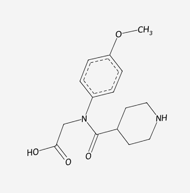 COc1ccc(N(CC(=O)O)C(=O)C2CCNCC2)cc1